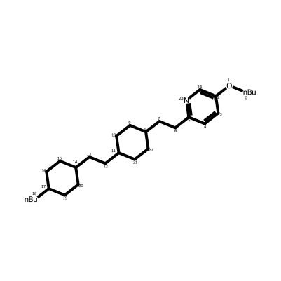 CCCCOc1ccc(CCC2CCC(CCC3CCC(CCCC)CC3)CC2)nc1